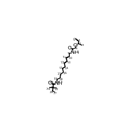 CCC(C)OCC(=O)NCCCCCCCCCCCNC(=O)C(C)(C)CC